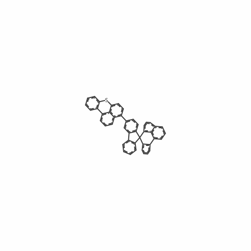 c1ccc2c(c1)Sc1ccc(-c3ccc4c(c3)-c3ccccc3C43c4ccccc4-c4cccc5cccc3c45)c3cccc-2c13